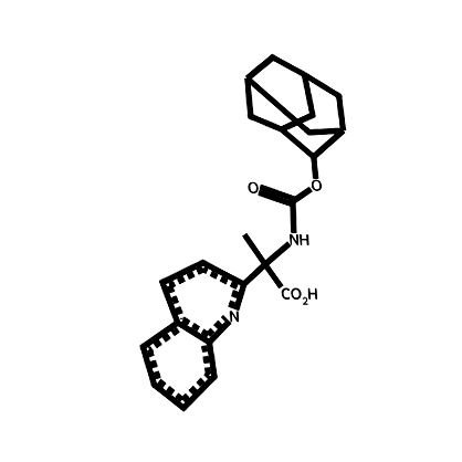 CC(NC(=O)OC1C2CC3CC(C2)CC1C3)(C(=O)O)c1ccc2ccccc2n1